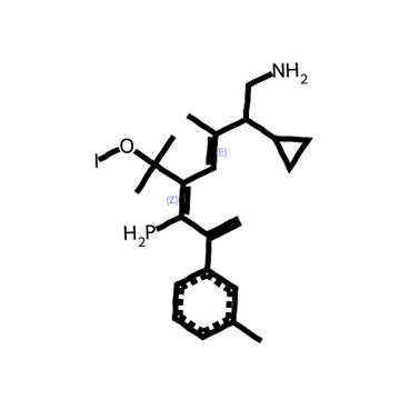 C=C(/C(P)=C(\C=C(/C)C(CN)C1CC1)C(C)(C)OI)c1cccc(C)c1